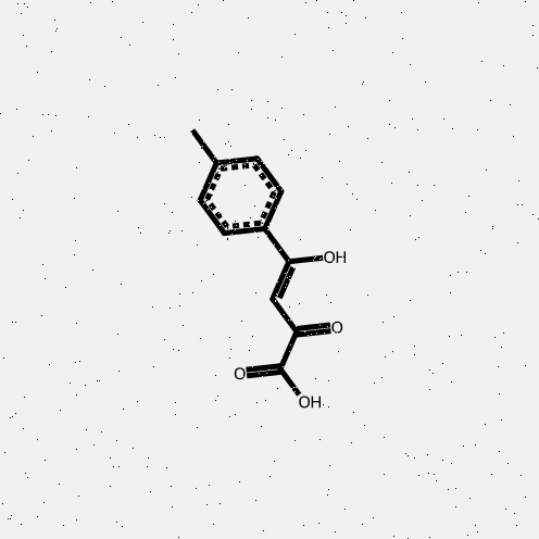 Cc1ccc(C(O)=CC(=O)C(=O)O)cc1